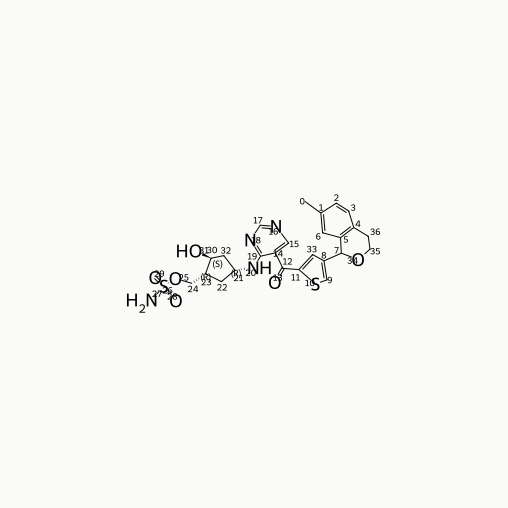 Cc1ccc2c(c1)C(c1csc(C(=O)c3cncnc3N[C@@H]3C[C@H](COS(N)(=O)=O)[C@@H](O)C3)c1)OCC2